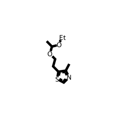 CCOC(C)OCCc1scnc1C